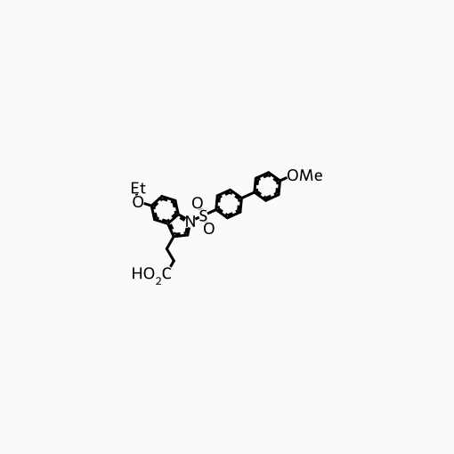 CCOc1ccc2c(c1)c(CCC(=O)O)cn2S(=O)(=O)c1ccc(-c2ccc(OC)cc2)cc1